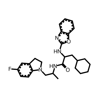 CC(CN1CCc2cc(F)ccc21)NC(=O)C(CC1CCCCC1)Nc1nc2ccccc2o1